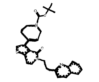 CC(C)(C)OC(=O)N1CC=C(c2csc3ccn(CCc4ccc5ccccc5n4)c(=O)c23)CC1